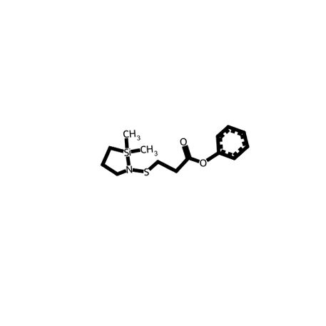 C[Si]1(C)CCCN1SCCC(=O)Oc1ccccc1